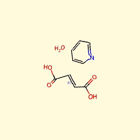 O.O=C(O)/C=C/C(=O)O.c1ccncc1